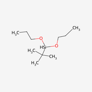 CCCO[SiH](OCCC)C(C)(C)C